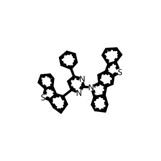 c1ccc(-c2cc(-c3cccc4sc5ccccc5c34)nc(-n3c4ccccc4c4cc5sc6ccccc6c5cc43)n2)cc1